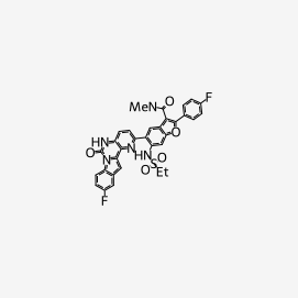 CCS(=O)(=O)Nc1cc2oc(-c3ccc(F)cc3)c(C(=O)NC)c2cc1-c1ccc2[nH]c(=O)n3c4ccc(F)cc4cc3c2n1